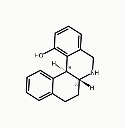 Oc1cccc2c1[C@@H]1c3ccccc3CC[C@H]1NC2